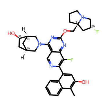 Cc1c(O)cc(-c2ncc3c(N4C[C@@H]5C[C@H](C4)[C@H](O)C5)nc(OC[C@@]45CCCN4C[C@H](F)C5)nc3c2F)c2ccccc12